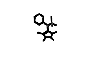 CC1=C(C)C(C)C(N(C2CCCCC2)[SiH](C)C)=C1C